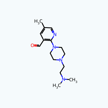 Cc1cnc(N2CCN(CCN(C)C)CC2)c(C=O)c1